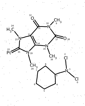 ClN(Cl)C1CCCCC1.Cn1c(=O)c2c(n(C)c1=O)n(C)[c](=[Pt])n2C